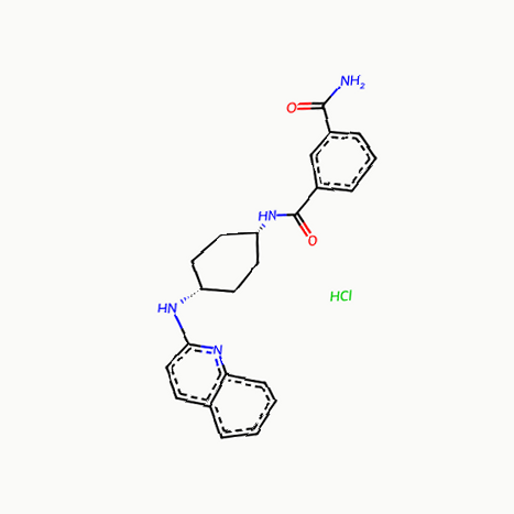 Cl.NC(=O)c1cccc(C(=O)N[C@H]2CC[C@@H](Nc3ccc4ccccc4n3)CC2)c1